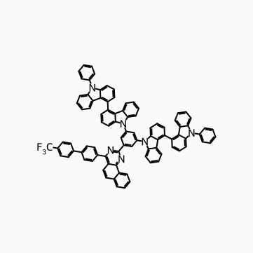 FC(F)(F)c1ccc(-c2ccc(-c3nc(-c4cc(-n5c6ccccc6c6c(-c7cccc8c7c7ccccc7n8-c7ccccc7)cccc65)cc(-n5c6ccccc6c6c(-c7cccc8c7c7ccccc7n8-c7ccccc7)cccc65)c4)nc4c3ccc3ccccc34)cc2)cc1